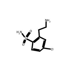 NCCc1cc(Cl)ccc1S(N)(=O)=O